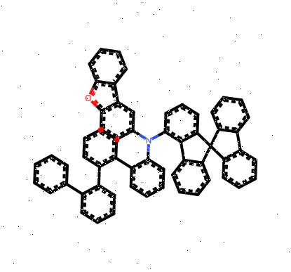 c1ccc(-c2ccccc2-c2ccccc2-c2ccccc2N(c2ccc3oc4ccccc4c3c2)c2cccc3c2-c2ccccc2C32c3ccccc3-c3ccccc32)cc1